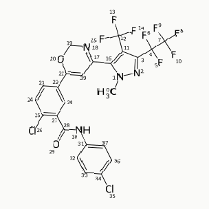 Cn1nc(C(F)(F)C(F)(F)F)c(C(F)(F)F)c1C1=NCOC(c2ccc(Cl)c(C(=O)Nc3ccc(Cl)cc3)c2)=C1